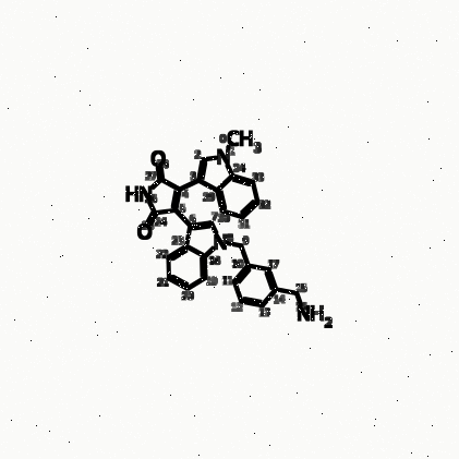 Cn1cc(C2=C(c3cn(Cc4cccc(CN)c4)c4ccccc34)C(=O)NC2=O)c2ccccc21